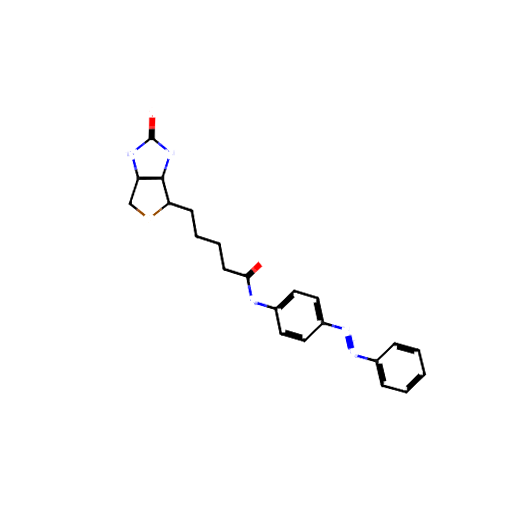 O=C(CCCCC1SCC2NC(=O)NC21)Nc1ccc(/N=N/c2ccccc2)cc1